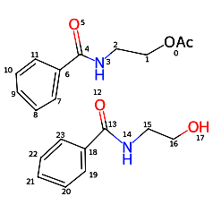 CC(=O)OCCNC(=O)c1ccccc1.O=C(NCCO)c1ccccc1